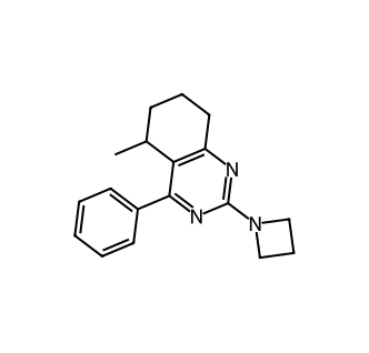 CC1CCCc2nc(N3CCC3)nc(-c3ccccc3)c21